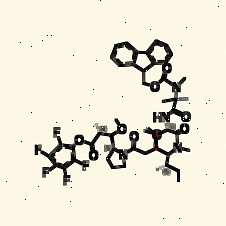 CC[C@H](C)C(C(CC(=O)N1CCC[C@H]1C(OC)[C@@H](C)C(=O)Oc1c(F)c(F)c(F)c(F)c1F)OC)N(C)C(=O)[C@@H](NC(=O)C(C)(C)N(C)C(=O)OCC1c2ccccc2-c2ccccc21)C(C)C